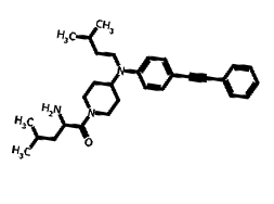 CC(C)CCN(c1ccc(C#Cc2ccccc2)cc1)C1CCN(C(=O)C(N)CC(C)C)CC1